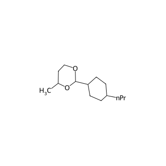 CCCC1CCC(C2OCCC(C)O2)CC1